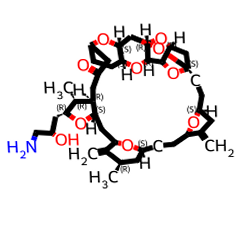 C=C1C[C@@H]2CC[C@@]34C[C@H]5O[C@H]6C(O3)[C@H]3OC(CC[C@@H]3O[C@H]6C5O4)CC(=O)C[C@@H]3[C@@H](C)[C@@H](CC(O)CN)O[C@H]3CC3O[C@@H](CCC1O2)C[C@@H](C)C3=C